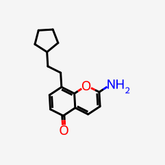 Nc1ccc2c(=O)ccc(CCC3CCCC3)c-2o1